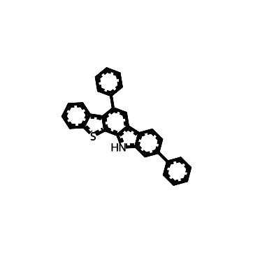 c1ccc(-c2ccc3c(c2)[nH]c2c3cc(-c3ccccc3)c3c4ccccc4sc23)cc1